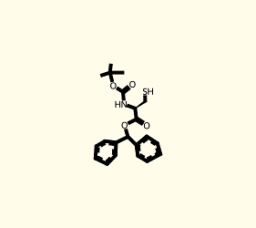 CC(C)(C)OC(=O)N[C@@H](CS)C(=O)OC(c1ccccc1)c1ccccc1